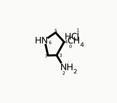 C.Cl.NC1CCNC1